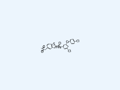 CS(=O)(=O)Cc1ccc2sc(C(=O)Nc3cc(Cl)cc(Oc4ccc(Cl)cc4)c3)cc2c1